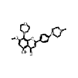 COc1cc(O)c2c(=O)cc(-c3ccc(N4CCN(C)CC4)cc3)oc2c1N1CCOCC1